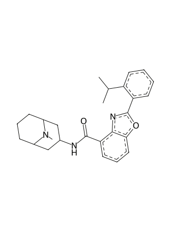 CC(C)c1ccccc1-c1nc2c(C(=O)NC3CC4CCCC(C3)N4C)cccc2o1